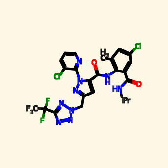 Cc1cc(Cl)cc(C(=O)NC(C)C)c1NC(=O)c1cc(Cn2nnc(C(F)(F)C(F)(F)F)n2)nn1-c1ncccc1Cl